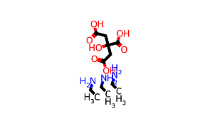 CCN.CCN.CCN.O=C(O)CC(O)(CC(=O)O)C(=O)O